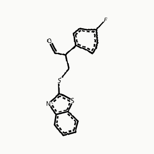 O=CC(CSc1nc2ccccc2s1)c1ccc(F)cc1